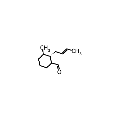 C/C=C/C[C@@H]1C(C=O)CCC[C@H]1C